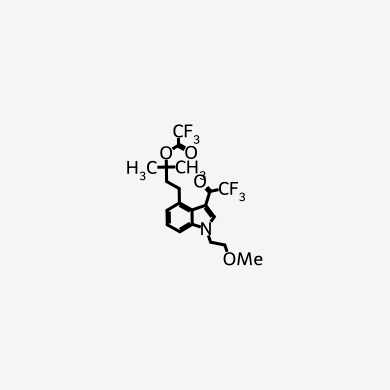 COCCn1cc(C(=O)C(F)(F)F)c2c(CCC(C)(C)OC(=O)C(F)(F)F)cccc21